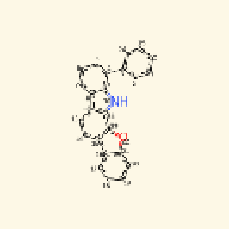 c1ccc(-c2cccc3c2[nH]c2c3ccc3c4ccccc4oc32)cc1